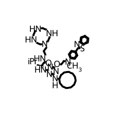 CC(C)C[C@H](Nc1nc(NC2CCCCCCCCCCC2)nc(OCCN(C)c2ccc(-c3nc4ccccc4s3)cc2)n1)C(=O)NCCCN1CCNCCNCCNCC1